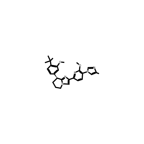 COc1cc([C@@H]2CCCn3cc(-c4ccc(-n5cnc(C)c5)c(OC)n4)nc32)ccc1C(C)(C)C